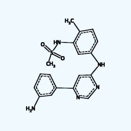 Cc1ccc(Nc2cc(-c3cccc(N)c3)ncn2)cc1NS(C)(=O)=O